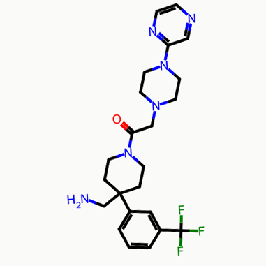 NCC1(c2cccc(C(F)(F)F)c2)CCN(C(=O)CN2CCN(c3cnccn3)CC2)CC1